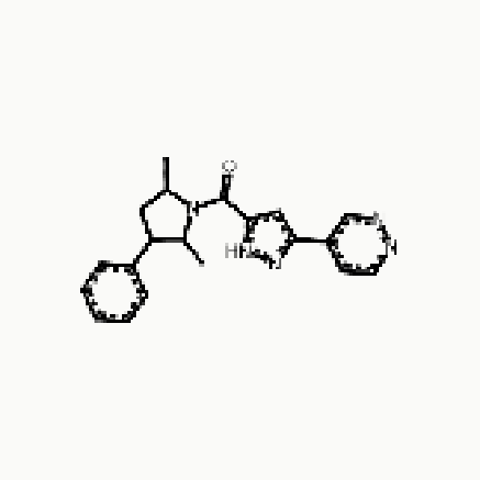 CC1CC(c2ccccc2)C(C)N1C(=O)c1cc(-c2ccnnc2)n[nH]1